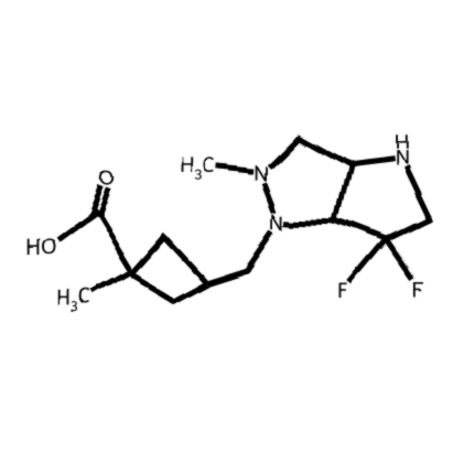 CN1CC2NCC(F)(F)C2N1CC1CC(C)(C(=O)O)C1